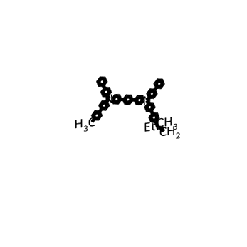 C=CCC(C)(CC)c1ccc(-c2ccc(N(c3ccc(-c4ccccc4)cc3)c3ccc(-c4ccc(-c5ccc(N(c6ccc(-c7ccccc7)cc6)c6ccc(-c7ccc(C)cc7)cc6)cc5)cc4)cc3)cc2)cc1